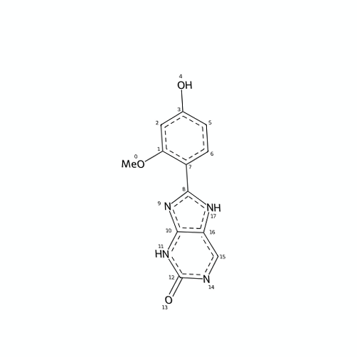 COc1cc(O)ccc1-c1nc2[nH]c(=O)ncc2[nH]1